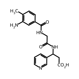 Cc1ccc(C(=O)NCC(=O)NC(CC(=O)O)c2cccnc2)cc1N